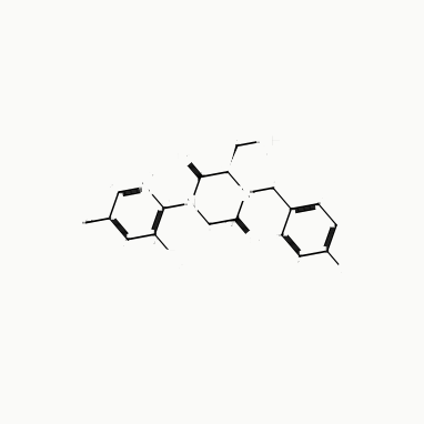 O=C1[C@@H](CO)N(Cc2ccc(Cl)cc2)C(=O)CN1c1ncc(Cl)cc1F